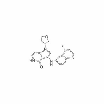 O=c1[nH]ccc2c1c(Nc1ccc3nccc(F)c3c1)nn2C1CCOC1